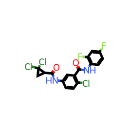 O=C(Nc1ccc(F)cc1F)c1cc(NC(=O)C2CC2(Cl)Cl)ccc1Cl